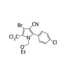 CCOCn1c(-c2ccc(Cl)cc2)c(C#N)c(Br)c1C(Cl)(Cl)Cl